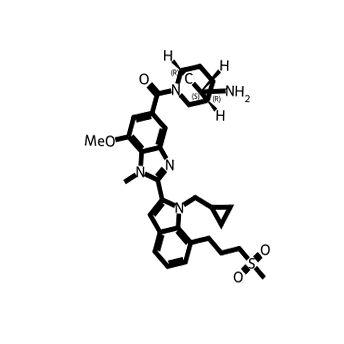 COc1cc(C(=O)N2C[C@H]3CC[C@@H]2C[C@@H]3N)cc2nc(-c3cc4cccc(CCCS(C)(=O)=O)c4n3CC3CC3)n(C)c12